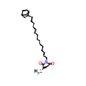 CC1=CC(=O)N(CCCCCCCCCCCCCCCC2CC3C=CC2C3)C1=O